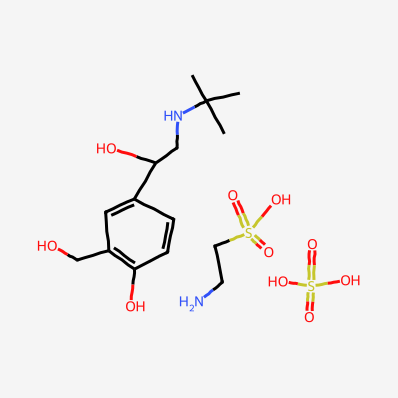 CC(C)(C)NCC(O)c1ccc(O)c(CO)c1.NCCS(=O)(=O)O.O=S(=O)(O)O